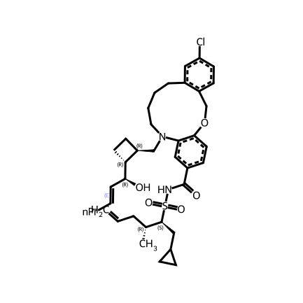 C=CC[C@@H](C)[C@H](CC1CC1)S(=O)(=O)NC(=O)c1ccc2c(c1)N(C[C@@H]1CC[C@H]1[C@@H](O)/C=C/CCC)CCCCc1cc(Cl)ccc1CO2